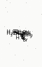 C[C@@H](CCNC(=O)OC(C)(C)C)N(Cc1ccc(Br)cc1)C(=O)OC(C)(C)C